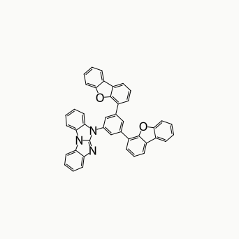 c1ccc2c(c1)nc1n(-c3cc(-c4cccc5c4oc4ccccc45)cc(-c4cccc5c4oc4ccccc45)c3)c3ccccc3n21